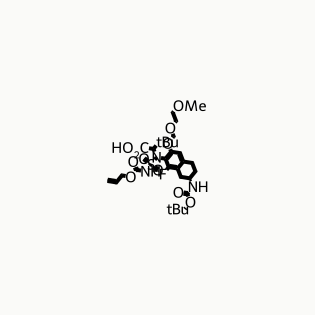 C=CCOC(=O)NS(=O)(=O)N(c1c(OCOCCOC)cc2c(c1F)C[C@H](NC(=O)OC(C)(C)C)CC2)C(C(=O)O)C(C)(C)C